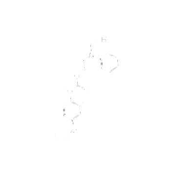 CCN(CCOC(=O)Oc1ccc(OC)cc1)c1ccccc1